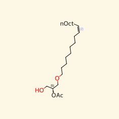 CCCCCCCC/C=C\CCCCCCCCOC[C@H](CO)OC(C)=O